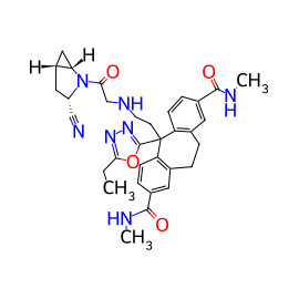 CCc1nnc(C2(CCNCC(=O)N3[C@H](C#N)C[C@@H]4C[C@@H]43)c3ccc(C(=O)NC)cc3CCc3cc(C(=O)NC)ccc32)o1